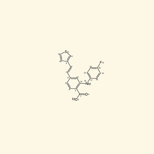 O=C(O)c1ccc(/C=C/c2ccsc2)cc1Nc1ccc(F)cc1